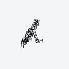 CNS(=O)(=O)Nc1cccc(Cc2c(CNCCCCO)c3ccc(OC(=O)N(C)C)cc3oc2=O)c1F